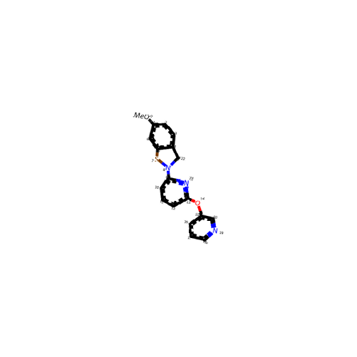 COc1ccc2c(c1)SN(c1cccc(Oc3cccnc3)n1)C2